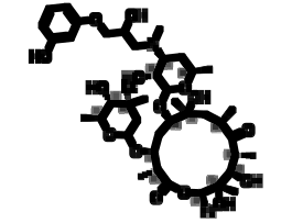 CC[C@H]1OC(=O)[C@H](C)[C@@H](OC2C[C@@](C)(CC)[C@@H](O)[C@H](C)O2)C[C@@H](OC2O[C@H](C)C[C@H](N(C)CC(O)COc3cccc(O)c3)[C@H]2O)[C@](C)(O)C[C@@H](C)C(=O)[C@H](C)[C@@H](O)[C@]1(C)O